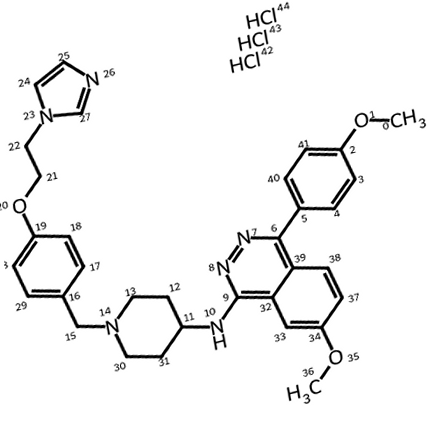 COc1ccc(-c2nnc(NC3CCN(Cc4ccc(OCCn5ccnc5)cc4)CC3)c3cc(OC)ccc23)cc1.Cl.Cl.Cl